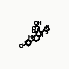 O=C(O)Cn1c(-c2cncs2)nc2c(c1=O)N[C@H](c1ccc(Cl)cc1)CC2